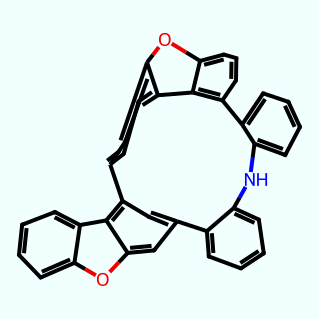 c1ccc2c(c1)Nc1ccccc1-c1cccc3oc4cc(ccc4c13)-c1cc-2cc2oc3ccccc3c12